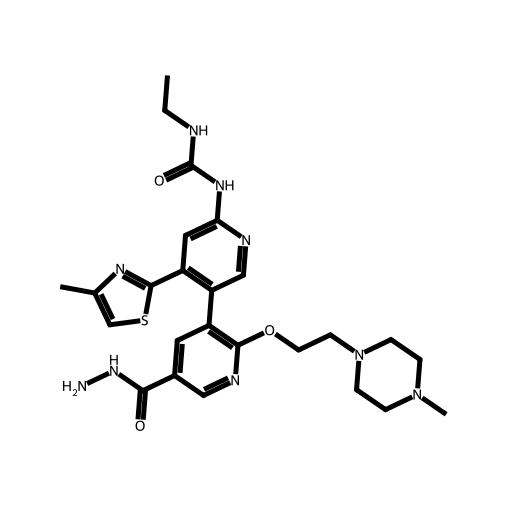 CCNC(=O)Nc1cc(-c2nc(C)cs2)c(-c2cc(C(=O)NN)cnc2OCCN2CCN(C)CC2)cn1